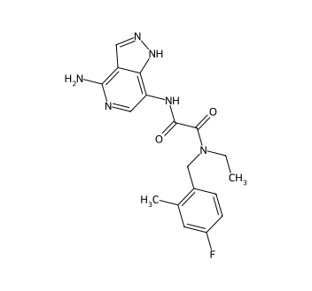 CCN(Cc1ccc(F)cc1C)C(=O)C(=O)Nc1cnc(N)c2cn[nH]c12